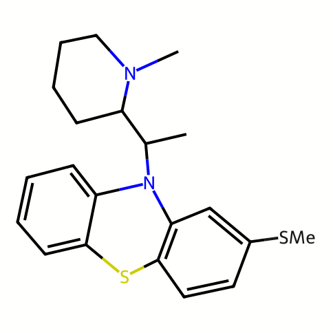 CSc1ccc2c(c1)N(C(C)C1CCCCN1C)c1ccccc1S2